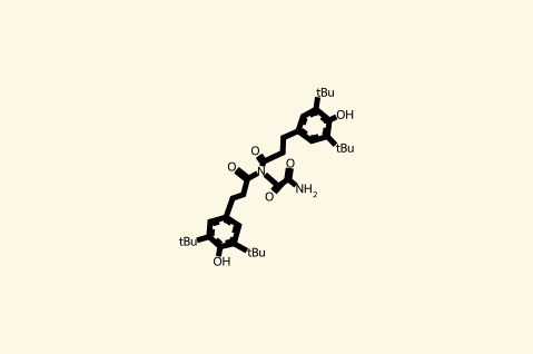 CC(C)(C)c1cc(CCC(=O)N(C(=O)CCc2cc(C(C)(C)C)c(O)c(C(C)(C)C)c2)C(=O)C(N)=O)cc(C(C)(C)C)c1O